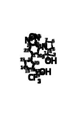 CC(C)(O)C1CCCN1c1cc(-c2cccc(C(O)C(F)(F)F)c2)cc2nonc12